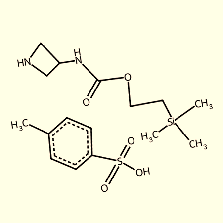 C[Si](C)(C)CCOC(=O)NC1CNC1.Cc1ccc(S(=O)(=O)O)cc1